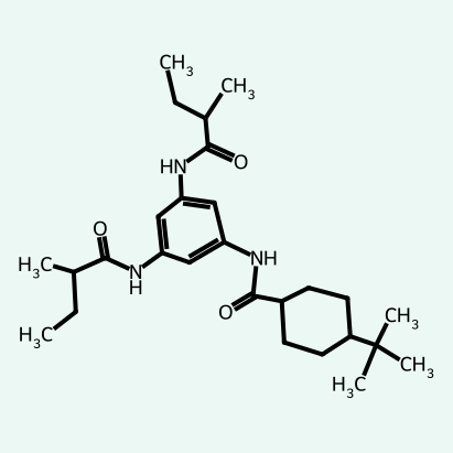 CCC(C)C(=O)Nc1cc(NC(=O)C(C)CC)cc(NC(=O)C2CCC(C(C)(C)C)CC2)c1